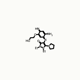 CCn1c(N2CCCC2)c(N=C2C=C(OCCO)C(=N)C=C2N)c(=O)n1CC